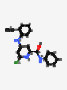 COc1ccccc1Nc1cc(Cl)nc(C(=O)Nc2ccccc2)c1